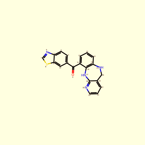 O=C(c1ccc2ncsc2c1)c1cccc2c1Nc1ncccc1CN2